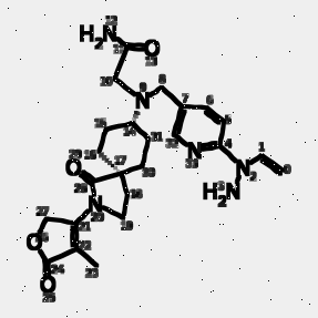 C=CN(N)c1ccc(CN(CC(N)=O)[C@H]2CC[C@@]3(CCN(C4=C(C)C(=O)OC4)C3=O)CC2)cn1